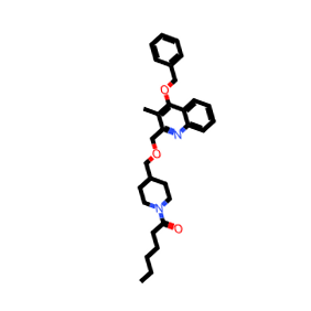 CCCCCC(=O)N1CCC(COCc2nc3ccccc3c(OCc3ccccc3)c2C)CC1